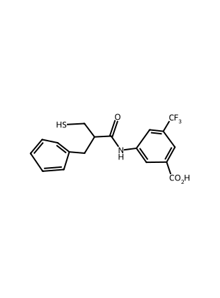 O=C(O)c1cc(NC(=O)C(CS)Cc2ccccc2)cc(C(F)(F)F)c1